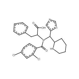 O=C(O)C(Cc1ccccc1)N(C(=O)c1ccc(Cl)cc1Cl)C(c1cncs1)C1CCCCN1